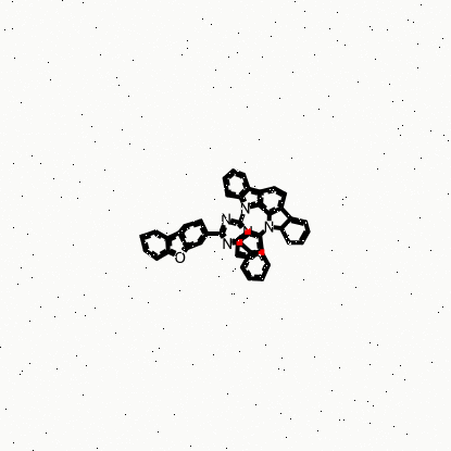 C1=CCC2C(=C1)c1ccc3c4ccccc4n(-c4nc(-c5ccccc5)nc(-c5ccc6c(c5)oc5ccccc56)n4)c3c1N2c1ccccc1